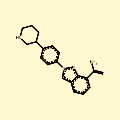 C=C(N)c1cccc2cn(-c3ccc(C4CCCNC4)cc3)nc12